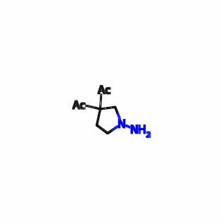 CC(=O)C1(C(C)=O)CCN(N)C1